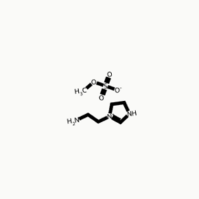 COS(=O)(=O)[O-].NCC[N+]1=CNCC1